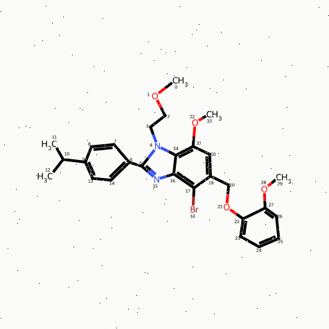 COCCn1c(-c2ccc(C(C)C)cc2)nc2c(Br)c(COc3ccccc3OC)cc(OC)c21